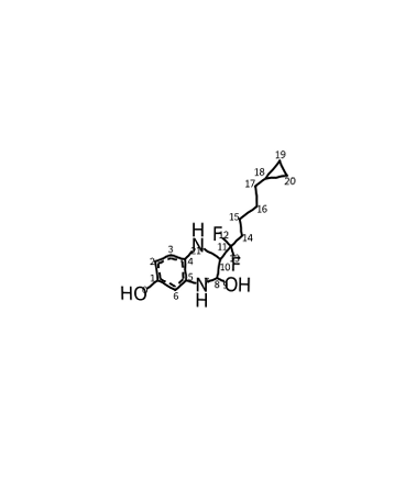 Oc1ccc2c(c1)NC(O)C(C(F)(F)CCCCC1CC1)N2